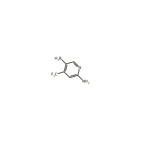 Bc1cnc(N)cc1C(F)(F)F